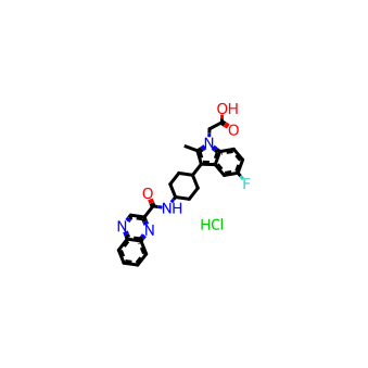 Cc1c(C2CCC(NC(=O)c3cnc4ccccc4n3)CC2)c2cc(F)ccc2n1CC(=O)O.Cl